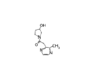 Cc1nccnc1CC(=O)N1CCC(O)C1